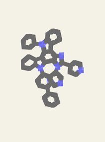 C1=CC2c3c(c4c(nc(-c5ccncc5)n4-c4cncnc4)c4c5ccccc5n(-c5ccccc5)c34)N(c3ccc(-c4ccccc4)cc3)C2C=C1